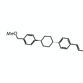 CC=Cc1ccc([C@H]2CC[C@H](c3ccc(COC)cc3)CC2)cc1